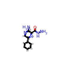 NNC(=O)c1nc(-c2ccccc2)cnc1N